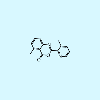 Cc1cccnc1-c1nc2cccc(C)c2c(=O)o1